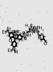 CCN(CC)c1ccc2c(-c3ccc(S(=O)(=O)NCCC[Si](C)(C)O[Si](C)(C)CSc4ncc(CCl)cn4)cc3S(=O)(=O)[O-])c3ccc(=[N+](CC)CC)cc-3oc2c1